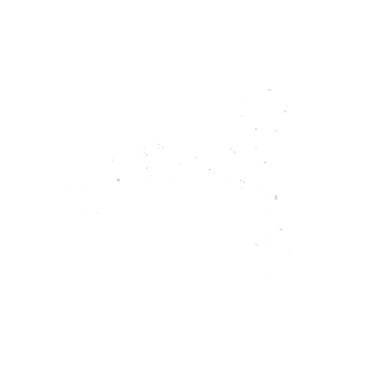 CC(C)(C)OC(=O)Cn1cc(CNc2nc(NCCc3ccccc3)cc(N3CCOCC3)n2)nn1